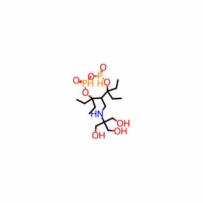 CCC1(CC)O[PH](=O)O[PH](=O)OC(CC)(CC)C1CNC(CO)(CO)CO